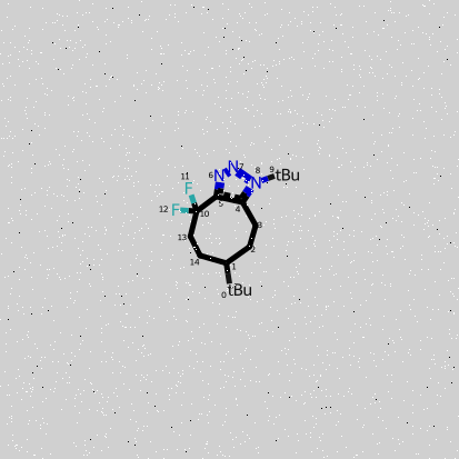 CC(C)(C)C1CCc2c(nnn2C(C)(C)C)C(F)(F)CC1